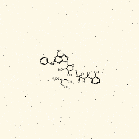 CCN(CC)CC.Nc1nc(Nc2ccccc2)nc2c1ncn2[C@@H]1O[C@H](COS(=O)(=O)NC(=O)c2ccccc2O)[C@@H](O)[C@H]1O